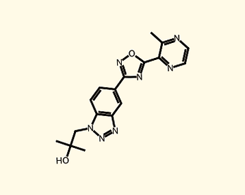 Cc1nccnc1-c1nc(-c2ccc3c(c2)nnn3CC(C)(C)O)no1